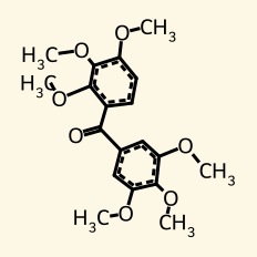 COc1cc(C(=O)c2ccc(OC)c(OC)c2OC)cc(OC)c1OC